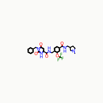 CN1CCC(CNC(=O)c2ccc(CNC(=O)c3cc(=O)n(Cc4ccccc4)c(=O)[nH]3)c(OC(F)(F)F)c2)C1